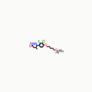 CC1CC(=O)NN=C1c1ccc(OCCCCCO[Si](C)(C)C(C)(C)C)c(Cl)c1F